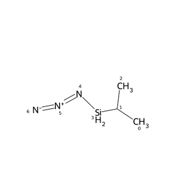 CC(C)[SiH2]N=[N+]=[N-]